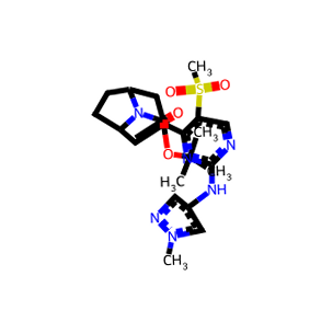 Cn1cc(Nc2ncc(S(C)(=O)=O)c(C3=CC4CCC(C3)N4C(=O)OC(C)(C)C)n2)cn1